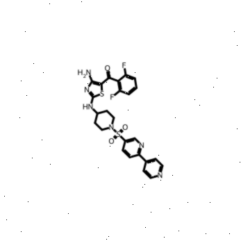 Nc1nc(NC2CCN(S(=O)(=O)c3ccc(-c4ccncc4)nc3)CC2)sc1C(=O)c1c(F)cccc1F